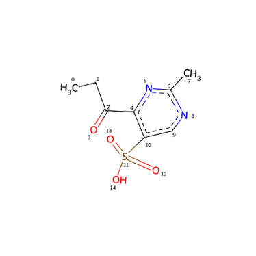 CCC(=O)c1nc(C)ncc1S(=O)(=O)O